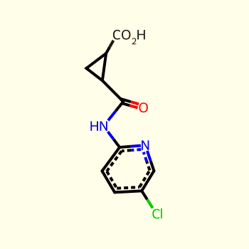 O=C(O)C1CC1C(=O)Nc1ccc(Cl)cn1